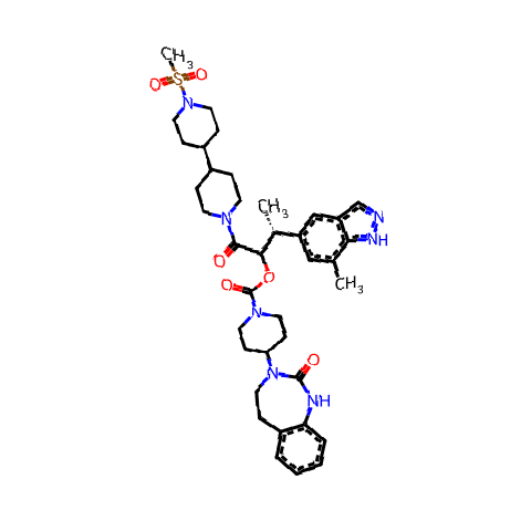 Cc1cc([C@@H](C)C(OC(=O)N2CCC(N3CCc4ccccc4NC3=O)CC2)C(=O)N2CCC(C3CCN(S(C)(=O)=O)CC3)CC2)cc2cn[nH]c12